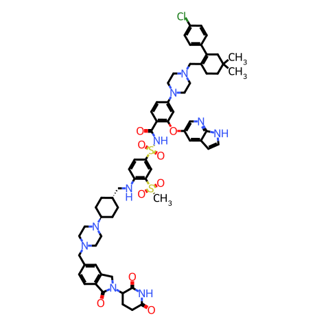 CC1(C)CCC(CN2CCN(c3ccc(C(=O)NS(=O)(=O)c4ccc(NC[C@H]5CC[C@H](N6CCN(Cc7ccc8c(c7)CN(C7CCC(=O)NC7=O)C8=O)CC6)CC5)c(S(C)(=O)=O)c4)c(Oc4cnc5[nH]ccc5c4)c3)CC2)=C(c2ccc(Cl)cc2)C1